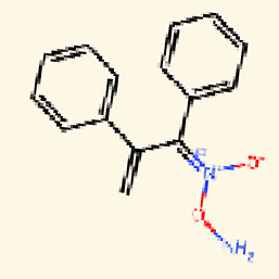 C=C(/C(c1ccccc1)=[N+](/[O-])ON)c1ccccc1